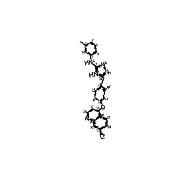 Cc1cccc(Nc2nnc(-c3ccc(Oc4ccnc5cc(Cl)ccc45)cc3)[nH]2)c1